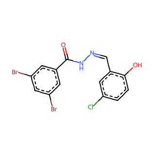 O=C(N/N=C\c1cc(Cl)ccc1O)c1cc(Br)cc(Br)c1